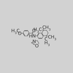 C1CN2CC2O1.COc1ccc(C(=O)Nc2ccc3c(c2)C(C)(C)CCC3(C)C)cc1